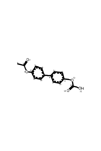 CC(=O)Oc1ccc(-c2ccc(OC(=O)O)cc2)cc1